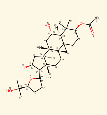 CC(C)(C)C(=O)O[C@H]1CCC23C[C@]24CC[C@]2(C)[C@@H]([C@@]5(C)CC[C@@H](C(C)(C)O)O5)[C@@H](O)C[C@@]2(C)[C@@H]4C[C@H](O)[C@H]3C1(C)C